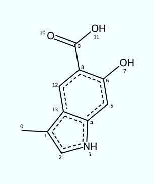 Cc1c[nH]c2cc(O)c(C(=O)O)cc12